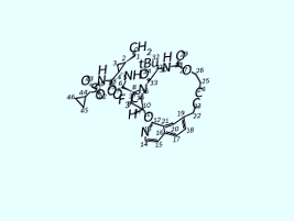 C=C[C@@H]1C[C@]1(NC(=O)[C@@H]1C[C@H]2Oc3nccc4ccc(cc34)CCCCCOC(=O)N[C@@H](C(C)(C)C)C(=O)N1C2C(F)(F)F)C(=O)NS(=O)(=O)C1CC1